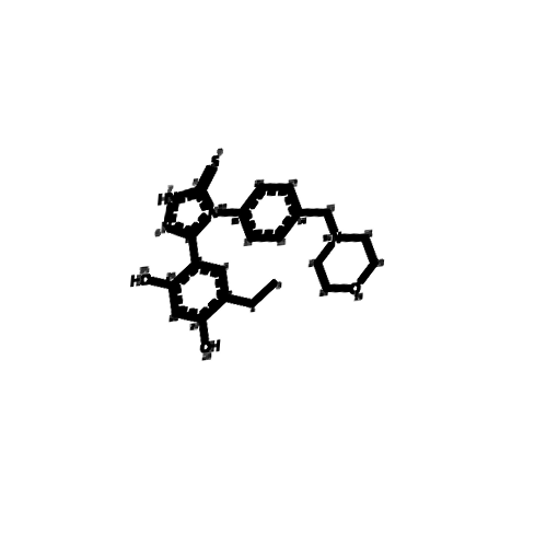 CCc1cc(-c2n[nH]c(=S)n2-c2ccc(CN3CCOCC3)cc2)c(O)cc1O